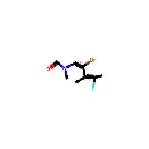 C/C(F)=C(C)\C(Br)=C/N(C)C=O